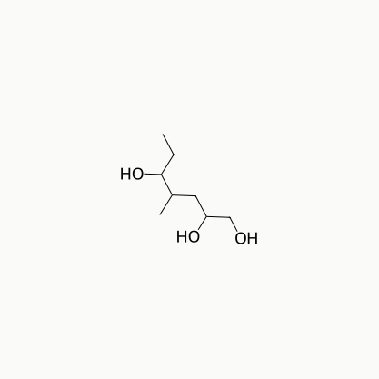 CCC(O)C(C)CC(O)CO